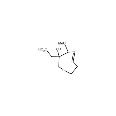 COC1/C=C/CCCCC1(O)CC(=O)O